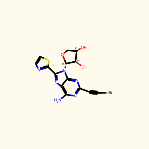 CCCCC#Cc1nc(N)c2nc(-c3nccs3)n([C@@H]3OC[C@@H](O)[C@H]3O)c2n1